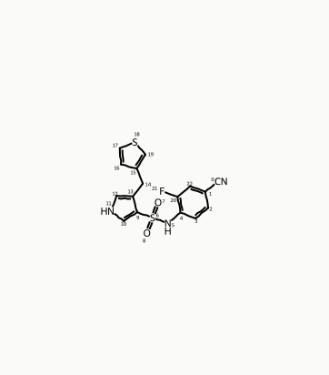 N#Cc1ccc(NS(=O)(=O)c2c[nH]cc2Cc2ccsc2)c(F)c1